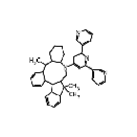 CC1C2C=CC=CC2C2C3C=CC=CC3C(C)(C)C2CN(C2=CC(c3cccnc3)=NC(c3cccnc3)C2)C2CCCCC12